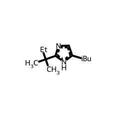 CCC(C)c1cnc(C(C)(C)CC)[nH]1